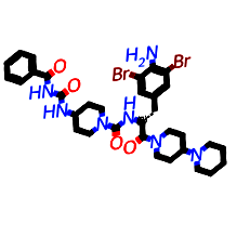 Nc1c(Br)cc(C[C@@H](NC(=O)N2CCC(NC(=O)NC(=O)c3ccccc3)CC2)C(=O)N2CCC(N3CCCCC3)CC2)cc1Br